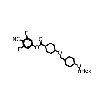 CCCCCCOC1CCC(COC2CCC(C(=O)Oc3cc(F)c(C#N)c(F)c3)CC2)CC1